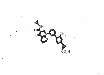 Cc1cc(C2CC2C(=O)O)ccc1-c1cccc(-n2cc(C(=O)NC3CC3)c(=O)c3cccnc32)c1